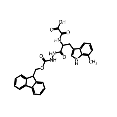 Cc1cccc2c(CC(NC(=O)C(=O)O)C(=O)NNC(=O)OCC3c4ccccc4-c4ccccc43)c[nH]c12